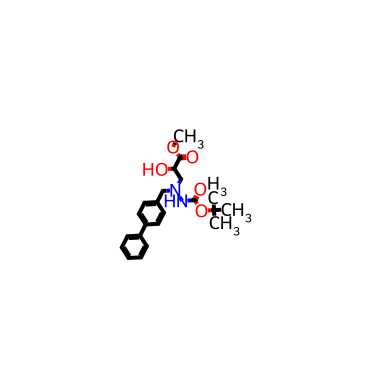 COC(=O)C(O)CN(Cc1ccc(-c2ccccc2)cc1)NC(=O)OC(C)(C)C